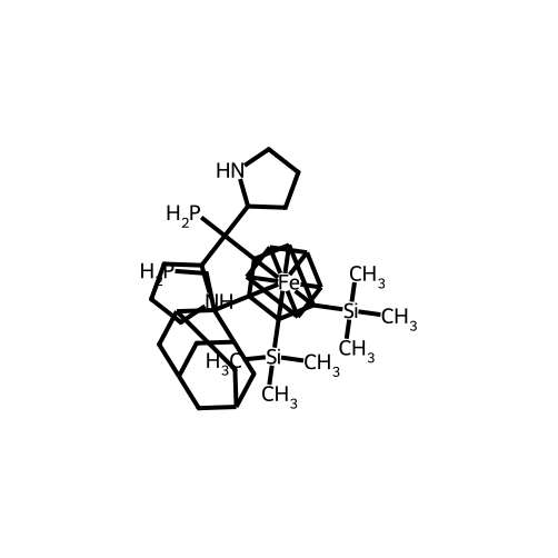 C[Si](C)(C)[C]12[CH]3[C]4(C(P)(C5CCCN5)C5CCCN5)[C]5(C6(CP)C7CC8CC(C7)CC6C8)[C]1([Si](C)(C)C)[Fe]34521678[CH]2[CH]1[CH]6[CH]7[CH]28